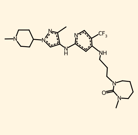 Cc1nn(C2CCN(C)CC2)cc1Nc1cc(NCCCN2CCCCN(C)C2=O)c(C(F)(F)F)cn1